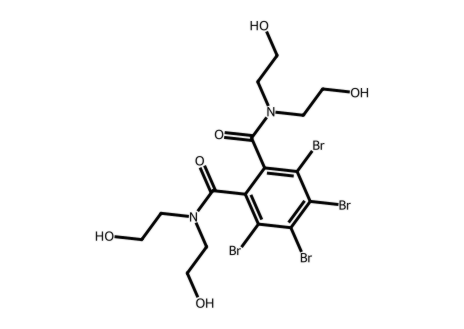 O=C(c1c(Br)c(Br)c(Br)c(Br)c1C(=O)N(CCO)CCO)N(CCO)CCO